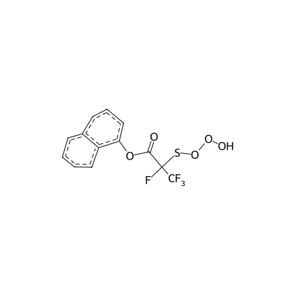 O=C(Oc1cccc2ccccc12)C(F)(SOOO)C(F)(F)F